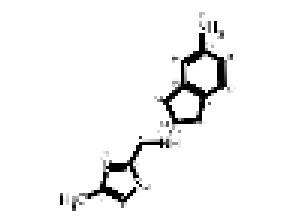 Cc1csc(CN[C@H]2Cc3ccc(N)cc3C2)n1